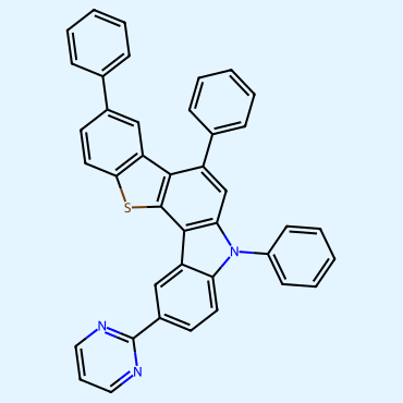 c1ccc(-c2ccc3sc4c(c(-c5ccccc5)cc5c4c4cc(-c6ncccn6)ccc4n5-c4ccccc4)c3c2)cc1